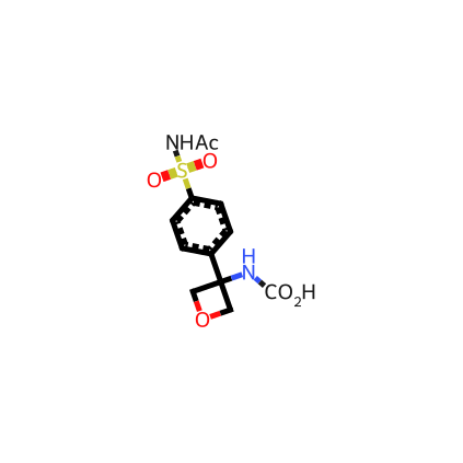 CC(=O)NS(=O)(=O)c1ccc(C2(NC(=O)O)COC2)cc1